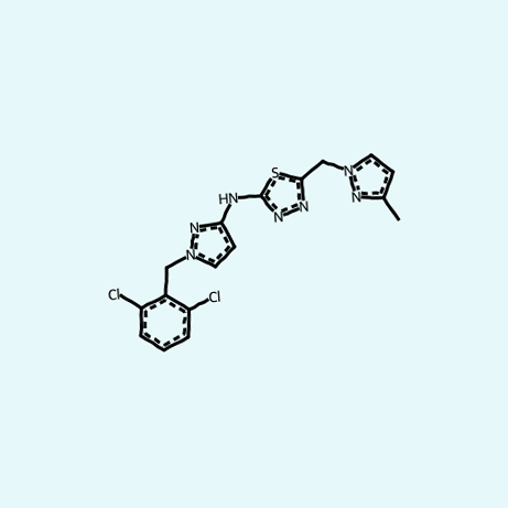 Cc1ccn(Cc2nnc(Nc3ccn(Cc4c(Cl)cccc4Cl)n3)s2)n1